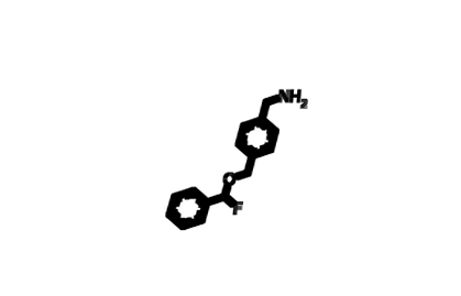 NCc1ccc(COC(F)c2ccccc2)cc1